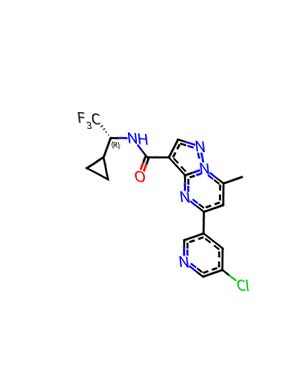 Cc1cc(-c2cncc(Cl)c2)nc2c(C(=O)N[C@H](C3CC3)C(F)(F)F)cnn12